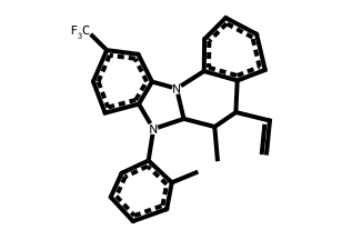 C=CC1c2ccccc2N2c3cc(C(F)(F)F)ccc3N(c3ccccc3C)C2C1C